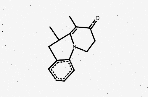 CC1=C2C(C)Cc3ccccc3N2CCC1=O